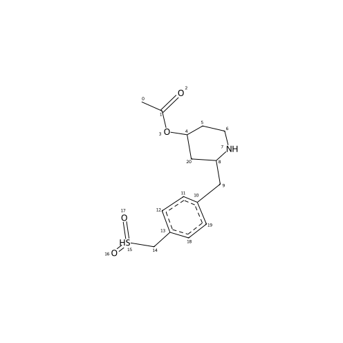 CC(=O)OC1CCNC(Cc2ccc(C[SH](=O)=O)cc2)C1